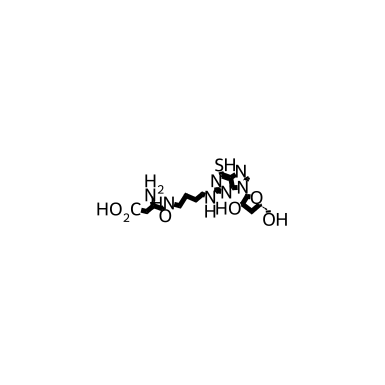 NC(CC(=O)O)C(=O)NCCCCNc1nc(S)c2ncn([C@@H]3O[C@H](CO)CC3O)c2n1